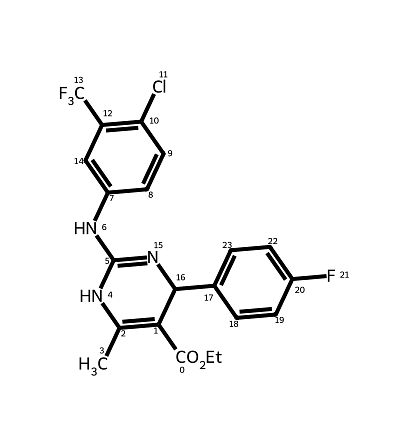 CCOC(=O)C1=C(C)NC(Nc2ccc(Cl)c(C(F)(F)F)c2)=NC1c1ccc(F)cc1